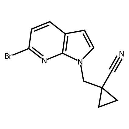 N#CC1(Cn2ccc3ccc(Br)nc32)CC1